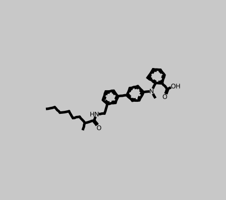 CCCCCCC(C)C(=O)NCc1cccc(-c2ccc(N(C)c3ccccc3C(=O)O)cc2)c1